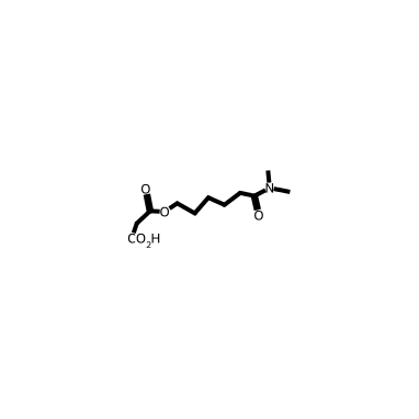 CN(C)C(=O)CCCCCOC(=O)CC(=O)O